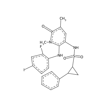 Cc1cc(NS(=O)(=O)C2CC2c2ccccc2)c(Nc2ccc(I)cc2F)n(C)c1=O